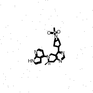 C[C@@H]1Cc2ncnc(C3CC4C(C3)N4S(C)(=O)=O)c2CN1c1ccnc2[nH]ccc12